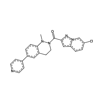 CN1c2ccc(-c3ccncc3)cc2CCN1C(=O)c1cc2ccc(Cl)cn2n1